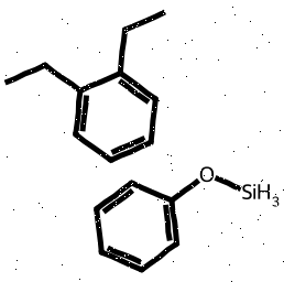 CCc1ccccc1CC.[SiH3]Oc1ccccc1